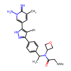 CNCC(=O)N(C1COC1)C(C)c1ccc(-c2n[nH]c(-c3cc(C)c(=N)n(N)c3)c2C(C)C)cc1